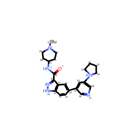 CC(C)(C)N1CCC(NC(=O)c2n[nH]c3ccc(-c4cncc(N5CCCC5)c4)cc23)CC1